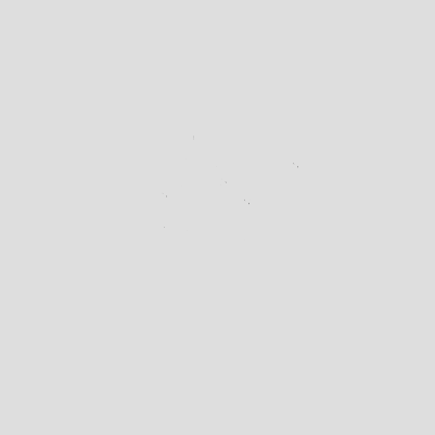 CN(C(=O)O)C(c1cc(Sc2cccc(F)c2)n(-c2cccnc2F)n1)C(C)(C)C